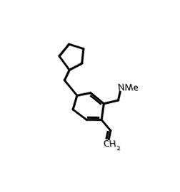 C=CC1=CCC(CC2CCCC2)C=C1CNC